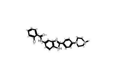 CN1CCN(c2ccc(-c3nc4cc(NC(=O)c5ccccc5Cl)ccc4[nH]3)cc2)CC1